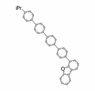 CC(C)c1ccc(-c2ccc(-c3ccc(-c4ccc(-c5cccc6c5oc5ccccc56)cc4)cc3)cc2)cc1